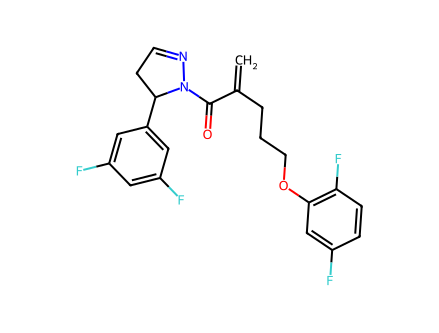 C=C(CCCOc1cc(F)ccc1F)C(=O)N1N=CCC1c1cc(F)cc(F)c1